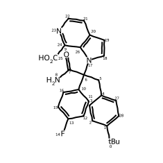 CC(C)(C)c1ccc(CC(C(N)=O)(c2ccc(F)cc2)n2ccc3ccnc(C(=O)O)c32)cc1